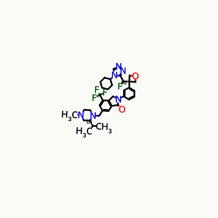 CC(C)[C@H]1CN(C)CCN1Cc1cc2c(c(C(F)(F)F)c1)CN(c1cccc(C3([C@@H](F)c4nncn4C4CCCCC4)COC3)c1)C2=O